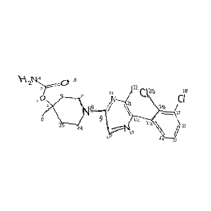 CC1(OC(N)=O)CCN(c2cnc(-c3cccc(Cl)c3Cl)c(I)n2)CC1